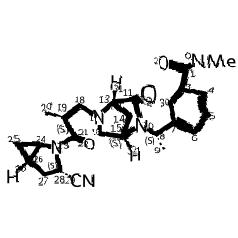 CNC(=O)c1cccc([C@H](C)N2C(=O)[C@@H]3C[C@H]2CN3C[C@H](C)C(=O)N2C3C[C@H]3C[C@H]2C#N)c1